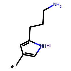 CCCc1c[nH]c(CCCN)c1.I